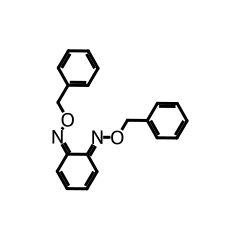 C1=CC(=NOCc2ccccc2)C(=NOCc2ccccc2)C=C1